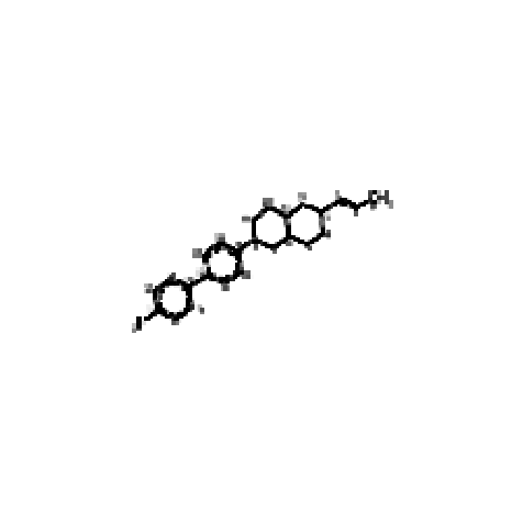 CC=CC1CCC2CC(c3ccc(-c4ccc(F)cc4)cc3)CCC2C1